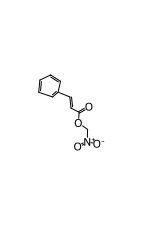 O=C(C=Cc1ccccc1)OC[N+](=O)[O-]